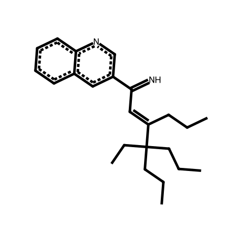 CCC/C(=C\C(=N)c1cnc2ccccc2c1)C(CC)(CCC)CCC